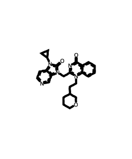 O=c1nc(Cn2c(=O)n(C3CC3)c3ccncc32)n(CCC2CCCOC2)c2ccccc12